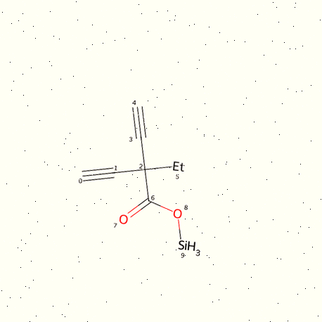 C#CC(C#C)(CC)C(=O)O[SiH3]